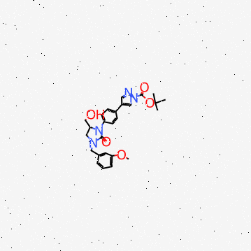 COc1cccc(CN2CC(CO)N(c3ccc(-c4cnn(C(=O)OC(C)(C)C)c4)cc3)C2=O)c1